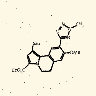 CCOC(=O)c1cc(C(C)(C)C)c2n1CCc1cc(OC)c(-c3nnn(C)n3)cc1-2